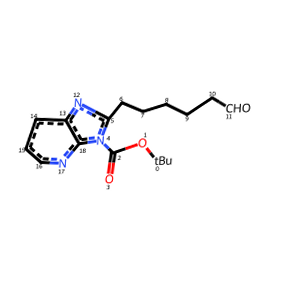 CC(C)(C)OC(=O)n1c(CCCCCC=O)nc2cccnc21